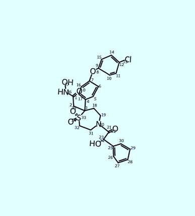 O=C(CC1(c2ccc(Oc3ccc(Cl)cc3)cc2)CCN(C(=O)[C@@H](O)c2ccccc2)CCS1(=O)=O)NO